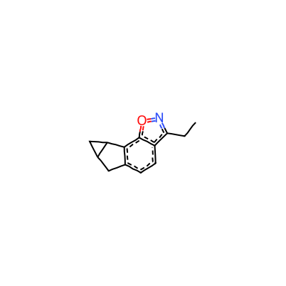 CCc1noc2c3c(ccc12)CC1CC31